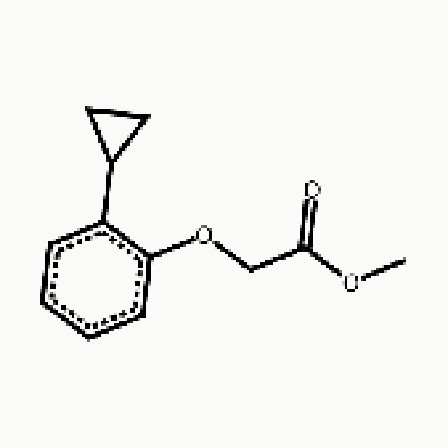 COC(=O)COc1ccccc1C1CC1